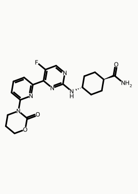 NC(=O)[C@H]1CC[C@H](Nc2ncc(F)c(-c3cccc(N4CCCOC4=O)n3)n2)CC1